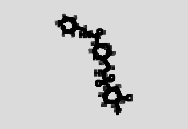 O=C(NCc1ccncc1)c1cnc(CNS(=O)(=O)c2ccc(F)c(Cl)c2)cn1